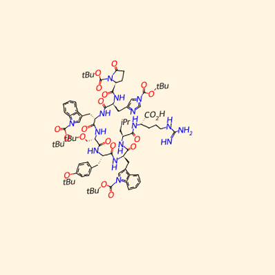 CC(C)C[C@H](NC(=O)[C@@H](Cc1cn(C(=O)OC(C)(C)C)c2ccccc12)NC(=O)[C@H](Cc1ccc(OC(C)(C)C)cc1)NC(=O)[C@H](COC(C)(C)C)NC(=O)[C@H](Cc1cn(C(=O)OC(C)(C)C)c2ccccc12)NC(=O)[C@H](Cc1cn(C(=O)OC(C)(C)C)cn1)NC(=O)[C@@H]1CCC(=O)N1C(=O)OC(C)(C)C)C(=O)N[C@@H](CCCNC(=N)N)C(=O)O